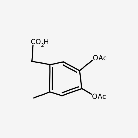 CC(=O)Oc1cc(C)c(CC(=O)O)cc1OC(C)=O